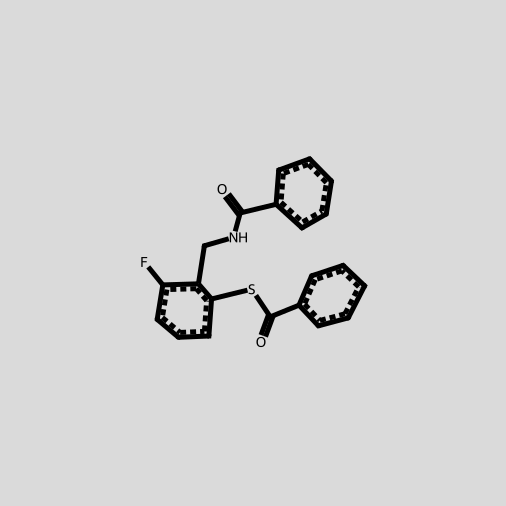 O=C(NCc1c(F)cccc1SC(=O)c1ccccc1)c1ccccc1